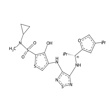 CC(C)c1coc([C@H](Nc2nsnc2Nc2csc(S(=O)(=O)N(C)C3CC3)c2O)C(C)C)c1